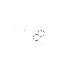 C=CCSc1ccc(O)c2ccccc12